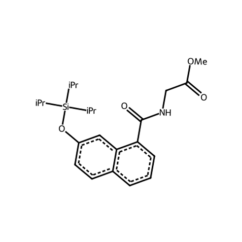 COC(=O)CNC(=O)c1cccc2ccc(O[Si](C(C)C)(C(C)C)C(C)C)cc12